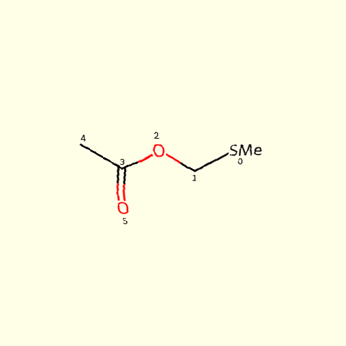 CSCOC(C)=O